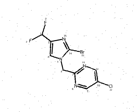 FC(F)c1cn(Cc2ncc(Cl)cn2)c(Br)n1